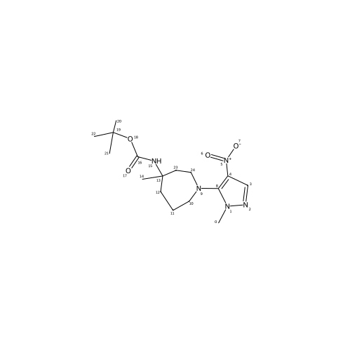 Cn1ncc([N+](=O)[O-])c1N1CCCC(C)(NC(=O)OC(C)(C)C)CC1